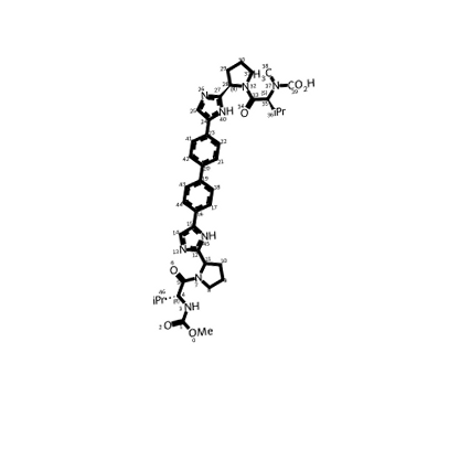 COC(=O)N[C@@H](C(=O)N1CCCC1c1ncc(-c2ccc(-c3ccc(-c4cnc([C@H]5CCCN5C(=O)[C@H](C(C)C)N(C)C(=O)O)[nH]4)cc3)cc2)[nH]1)C(C)C